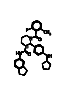 Cc1cccc(F)c1C(=O)N1CCC[C@H](C(=O)Nc2ccc3c(c2)CCC3)C1c1ccc(NC2CCCC2)cc1